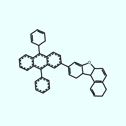 C1=CCC(c2c3ccccc3c(-c3ccccc3)c3cc(C4=CCC5C(=C4)OC4C=CC6=C(C=CCC6)C45)ccc23)C=C1